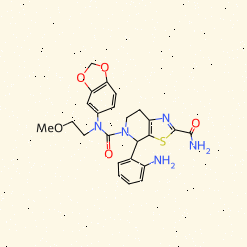 COCCN(C(=O)N1CCc2nc(C(N)=O)sc2C1c1ccccc1N)c1ccc2c(c1)OCO2